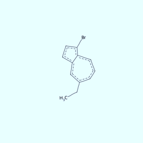 CCc1cccc2c(Br)ccc-2c1